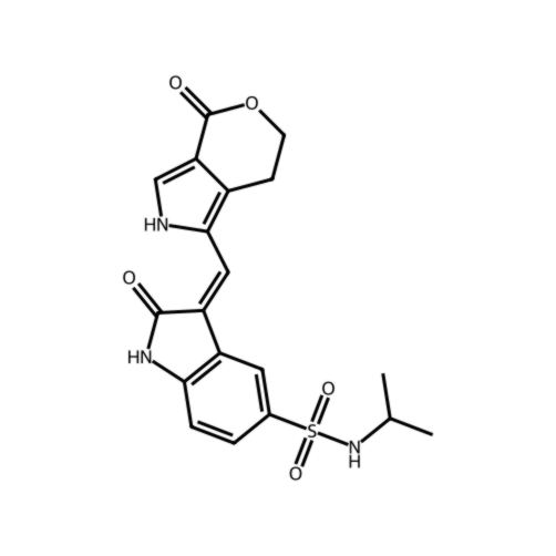 CC(C)NS(=O)(=O)c1ccc2c(c1)C(=Cc1[nH]cc3c1CCOC3=O)C(=O)N2